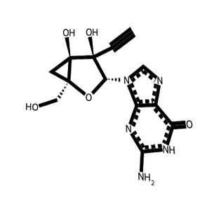 C#C[C@]1(O)[C@H](n2cnc3c(=O)[nH]c(N)nc32)O[C@@]2(CO)C[C@@]21O